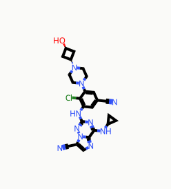 N#Cc1cc(Nc2nc(NC3CC3)c3ncc(C#N)n3n2)c(Cl)c(N2CCN([C@H]3C[C@H](O)C3)CC2)c1